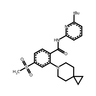 CC(C)(C)c1cccc(NC(=O)c2ccc(S(C)(=O)=O)cc2N2CCC3(CC2)CC3)n1